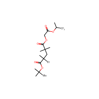 CCC(C)(CC(C)(C)C(=O)OCC(=O)OC(C)C(F)(F)F)C(=O)OC(C)(C)C(C)(C)C